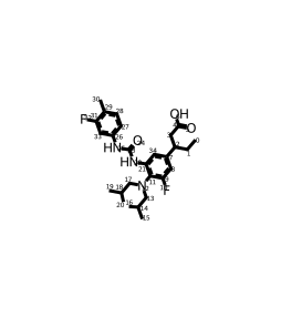 CCC(CC(=O)O)c1cc(F)c(N(CC(C)C)CC(C)C)c(NC(=O)Nc2ccc(C)c(F)c2)c1